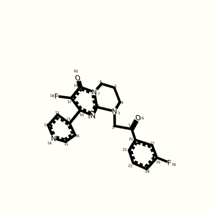 O=C(CN1CCCn2c1nc(-c1ccncc1)c(F)c2=O)c1cccc(F)c1